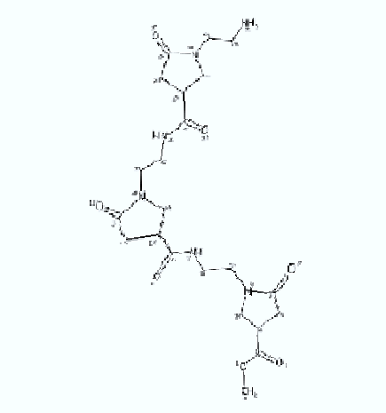 COC(=O)C1CC(=O)N(CCNC(=O)C2CC(=O)N(CCNC(=O)C3CC(=O)N(CCN)C3)C2)C1